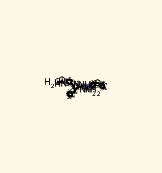 C=CC(=O)Nc1cccc(-c2cc(Cc3ccccc3)cc(NC(N)/C=C(\N)c3ccc(OC4=CCCC=C4)cc3)n2)c1